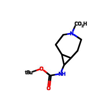 CC(C)(C)OC(=O)NC1C2CCN(C(=O)O)CCC21